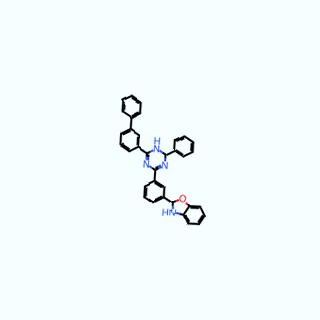 c1ccc(-c2cccc(C3=NC(c4cccc(C5Nc6ccccc6O5)c4)=NC(c4ccccc4)N3)c2)cc1